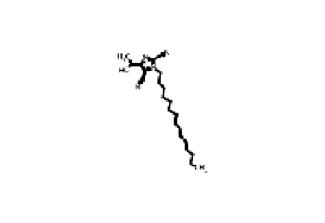 CCCCCCCCCCCCCCCn1c(C#N)nc(C(C)O)c1C#N